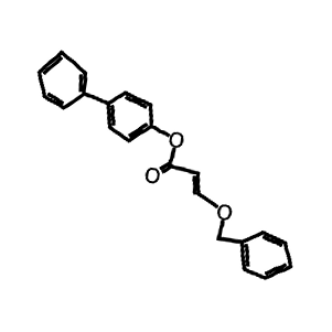 O=C(C=COCc1ccccc1)Oc1ccc(-c2ccccc2)cc1